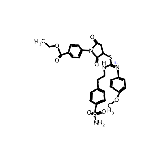 CCOC(=O)c1ccc(N2C(=O)CC(S/C(=N/c3ccc(OC)cc3)NCCc3ccc(S(N)(=O)=O)cc3)C2=O)cc1